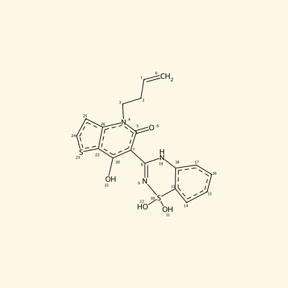 C=CCCn1c(=O)c(C2=NS(O)(O)c3ccccc3N2)c(O)c2sccc21